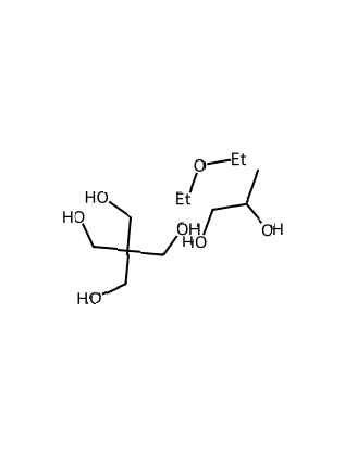 CC(O)CO.CCOCC.OCC(CO)(CO)CO